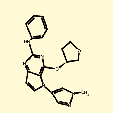 Cn1cc(-n2ccc3nc(Nc4ccccc4)nc(O[C@H]4CCOC4)c32)cn1